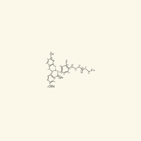 COc1ccc(C2CCc3cc(O)ccc3C2)c(N(Cc2ccc(OCCNCCF)c(F)c2)C(C)C)c1